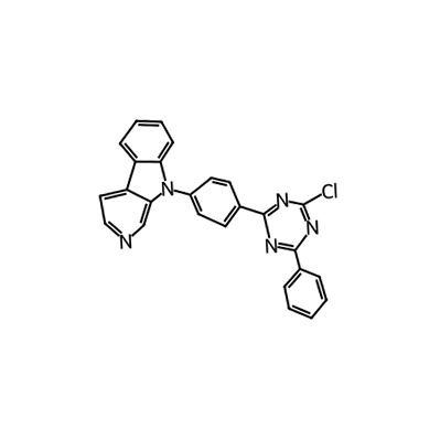 Clc1nc(-c2ccccc2)nc(-c2ccc(-n3c4ccccc4c4ccncc43)cc2)n1